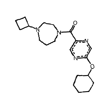 O=C(c1cnc(OC2CCCCC2)cn1)N1CCCN(C2CCC2)CC1